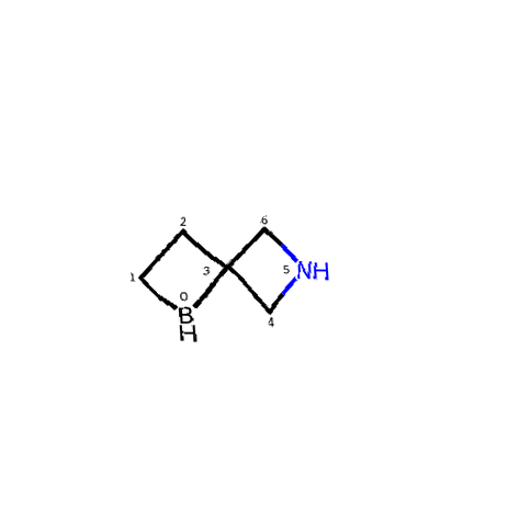 B1CCC12CNC2